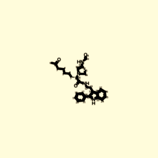 CC(=O)CCCCC[C@@H](C(=O)NCCc1c(-c2ccccc2)[nH]c2ccccc12)N1C=C(NC=O)SC1